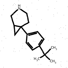 CC(C)(C)c1ccc(C23CCNCC2C3)cc1